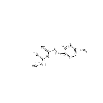 Cc1ccc(NCC(=O)OC(=O)NO)cc1